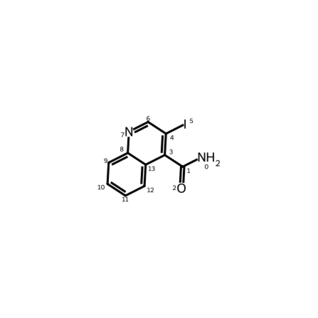 NC(=O)c1c(I)cnc2ccccc12